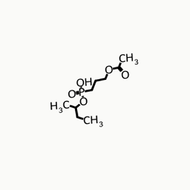 CCC(C)OP(=O)(O)CCCOC(C)=O